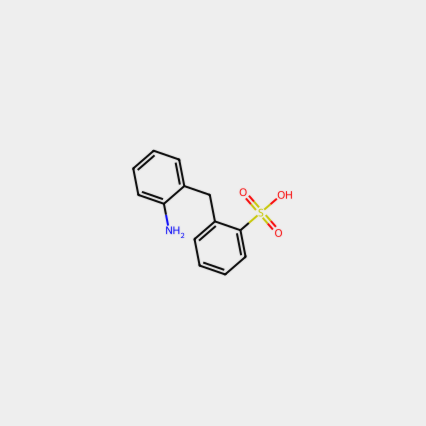 Nc1ccccc1Cc1ccccc1S(=O)(=O)O